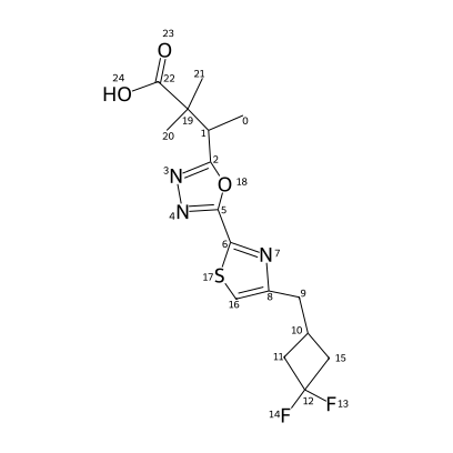 CC(c1nnc(-c2nc(CC3CC(F)(F)C3)cs2)o1)C(C)(C)C(=O)O